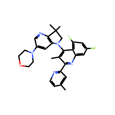 Cc1ccnc(-c2nc3cc(F)cc(F)c3c(N3CC(C)(C)c4ncc(N5CCOCC5)cc43)c2C)c1